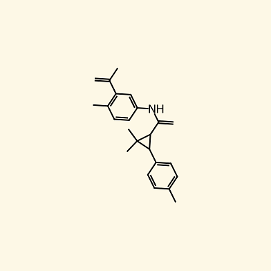 C=C(C)c1cc(NC(=C)C2C(c3ccc(C)cc3)C2(C)C)ccc1C